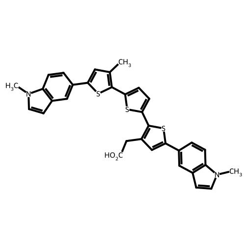 Cc1cc(-c2ccc3c(ccn3C)c2)sc1-c1ccc(-c2sc(-c3ccc4c(ccn4C)c3)cc2CC(=O)O)s1